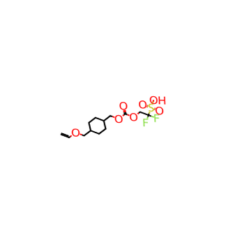 C=COCC1CCC(COC(=O)OCC(F)(F)S(=O)(=O)O)CC1